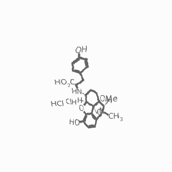 CO[C@@]12CC[C@@H](N[C@@H](Cc3ccc(O)cc3)C(=O)O)[C@@H]3Oc4c(O)ccc5c4[C@@]31CCN(C)[C@@H]2C5.Cl.Cl